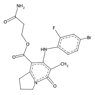 Cc1c(Nc2ccc(Br)cc2F)c(C(=O)OCCC(N)=O)c2n(c1=O)CCC2